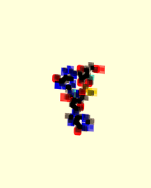 Nc1nc2c(nnn2[C@@H]2O[C@H](CO)[C@@H](F)[C@H]2OP(=O)(S)OC[C@H]2O[C@@H](n3cnc4c(=O)[nH]cnc43)C[C@]2(O)F)c(=O)[nH]1